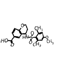 COc1cc(C)c(S(=O)(=O)N[C@@H]2CCOc3ccc(C(=O)O)cc32)c(C)c1